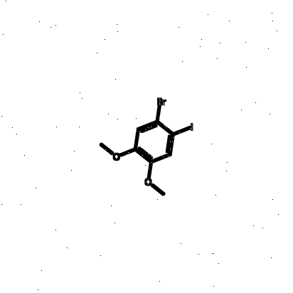 COc1cc(Br)c(I)cc1OC